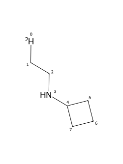 [2H]CCNC1CCC1